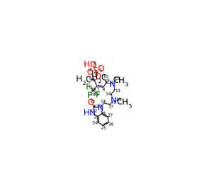 C=C(OS(=O)(=O)O)/C(=C\C(=C)N(C)CCN(C)CCn1c(=O)[nH]c2ccccc21)C(F)(F)F